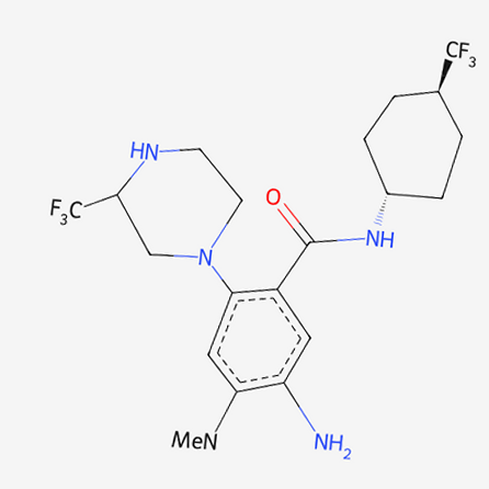 CNc1cc(N2CCNC(C(F)(F)F)C2)c(C(=O)N[C@H]2CC[C@H](C(F)(F)F)CC2)cc1N